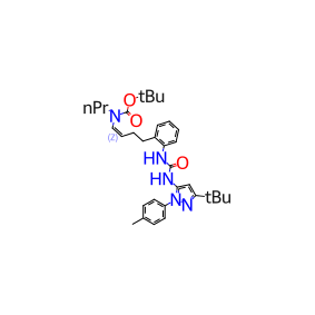 CCCN(/C=C\CCc1ccccc1NC(=O)Nc1cc(C(C)(C)C)nn1-c1ccc(C)cc1)C(=O)OC(C)(C)C